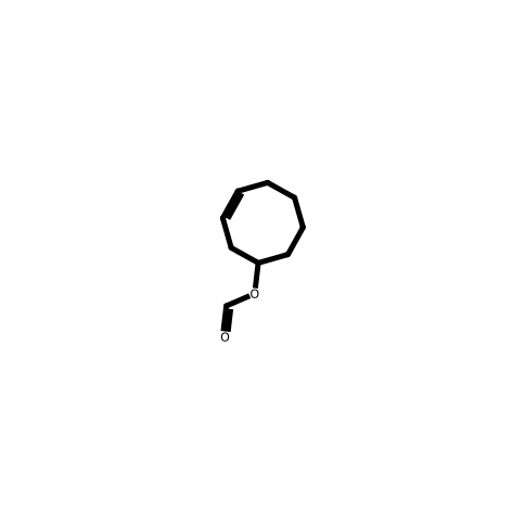 O=COC1CC=CCCCC1